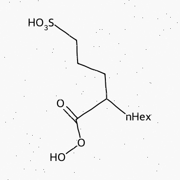 CCCCCCC(CCCS(=O)(=O)O)C(=O)OO